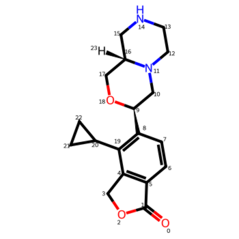 O=C1OCc2c1ccc([C@@H]1CN3CCNC[C@H]3CO1)c2C1CC1